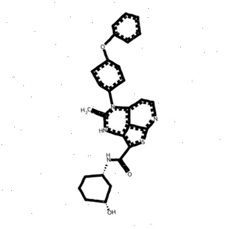 C=c1[nH]c2c(C(=O)N[C@H]3CCC[C@@H](O)C3)sc3nccc(c32)n1-c1ccc(Oc2ccccc2)cc1